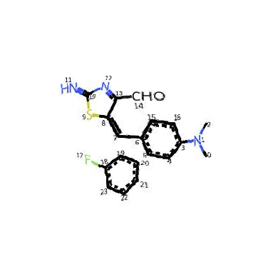 CN(C)c1ccc(C=C2SC(=N)N=C2C=O)cc1.Fc1ccccc1